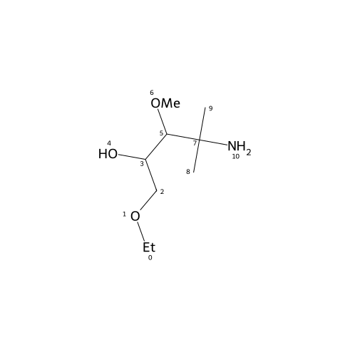 CCOCC(O)C(OC)C(C)(C)N